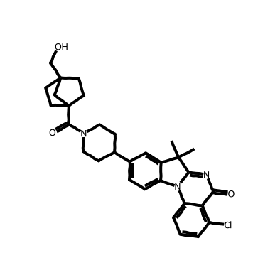 CC1(C)c2cc(C3CCN(C(=O)C45CCC(CO)(CC4)C5)CC3)ccc2-n2c1nc(=O)c1c(Cl)cccc12